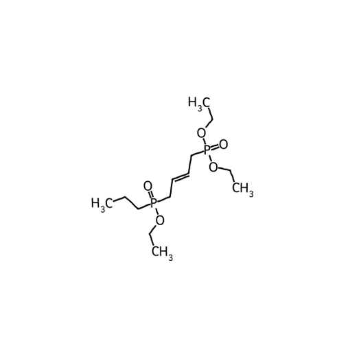 CCCP(=O)(C/C=C/CP(=O)(OCC)OCC)OCC